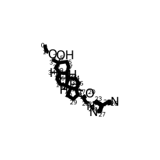 CCOC[C@@]1(O)CC[C@H]2[C@@H](CC[C@@H]3[C@@H]2CC[C@]2(C)[C@@H](C(=O)Cn4cc(C#N)cn4)CC[C@@H]32)C1